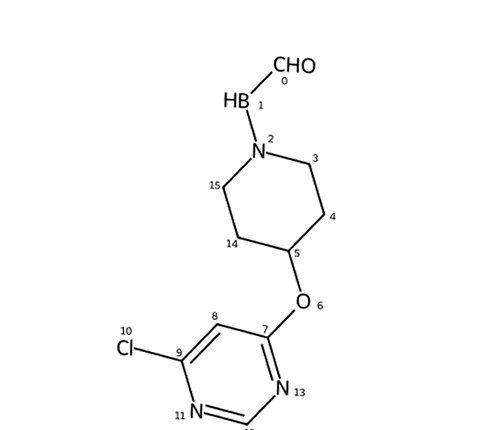 O=CBN1CCC(Oc2cc(Cl)ncn2)CC1